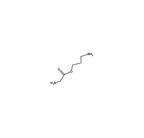 NCCCOC(=O)CN